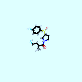 CCCC(CCF)C(=O)N1CC[C@H]([S+]([O-])c2ccc(F)cc2)C1